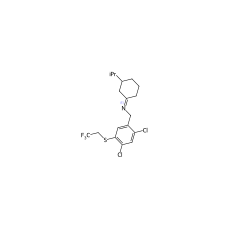 CC(C)C1CCC/C(=N\Cc2cc(SCC(F)(F)F)c(Cl)cc2Cl)C1